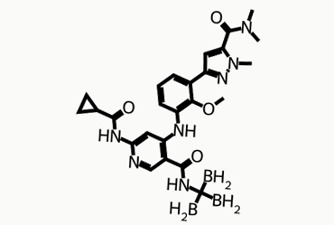 BC(B)(B)NC(=O)c1cnc(NC(=O)C2CC2)cc1Nc1cccc(-c2cc(C(=O)N(C)C)n(C)n2)c1OC